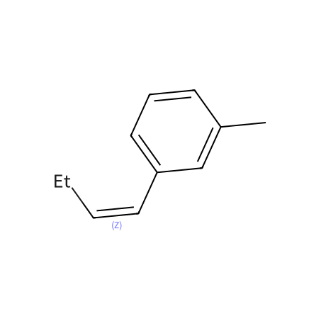 CC/C=C\c1cccc(C)c1